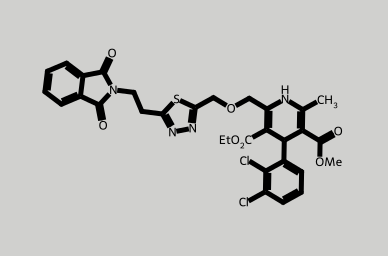 CCOC(=O)C1=C(COCc2nnc(CCN3C(=O)c4ccccc4C3=O)s2)NC(C)=C(C(=O)OC)C1c1cccc(Cl)c1Cl